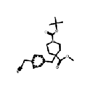 COC(=O)C1(Cc2ccc(CC#N)cc2)CCN(C(=O)OC(C)(C)C)CC1